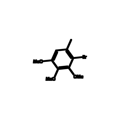 COc1cc(C)c(Br)c(OC)c1OC